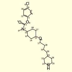 CN(C(=O)Oc1ccc(Cl)cc1)C1CCC(OCCCCC2CCNCC2)CC1